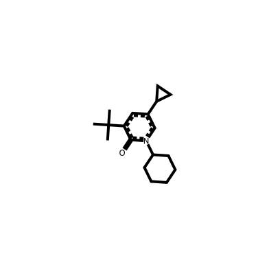 CC(C)(C)c1cc(C2CC2)cn(C2CCCCC2)c1=O